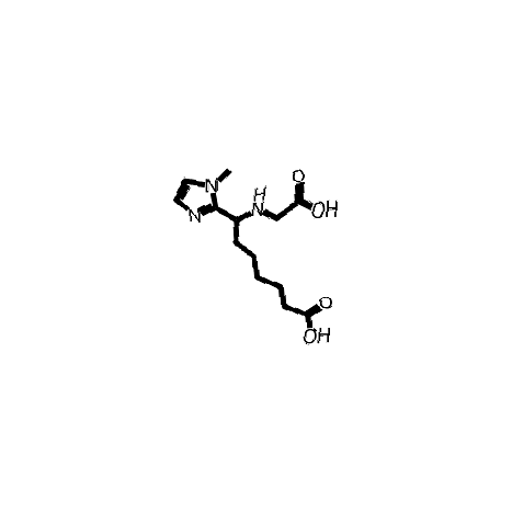 Cn1ccnc1C(CCCCCC(=O)O)NCC(=O)O